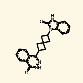 O=c1[nH]nc(C2CC3(C2)CC(n2c(=O)[nH]c4ccccc42)C3)c2ccccc12